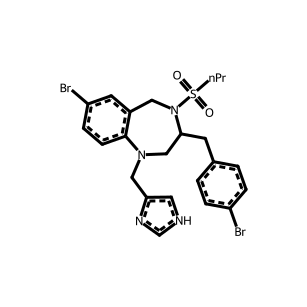 CCCS(=O)(=O)N1Cc2cc(Br)ccc2N(Cc2c[nH]cn2)CC1Cc1ccc(Br)cc1